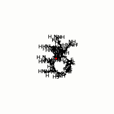 CNCCCC(NC(=O)C(CCCNC(=N)N)NC(=O)C(CCCNC(=N)N)NC(=O)C1CSc2c(F)c(F)c(c(F)c2F)-c2c(F)c(F)c(c(F)c2F)SCC(NS)C(=O)NC(CCCNC=N)C(=O)NC(CCCNC(=N)N)C(=O)NC(CCCNC(=N)N)C(=O)N1)C(=O)NCC(=O)N1CCNCC1